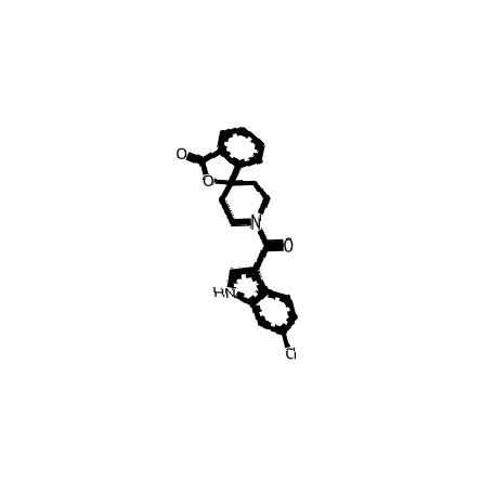 O=C1OC2(CCN(C(=O)c3c[nH]c4cc(Cl)ccc34)CC2)c2ccccc21